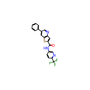 O=C(Nc1ccc(C(F)(F)F)nc1)c1cc2ncc(-c3ccccc3)cc2s1